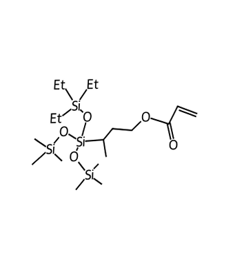 C=CC(=O)OCCC(C)[Si](O[Si](C)(C)C)(O[Si](C)(C)C)O[Si](CC)(CC)CC